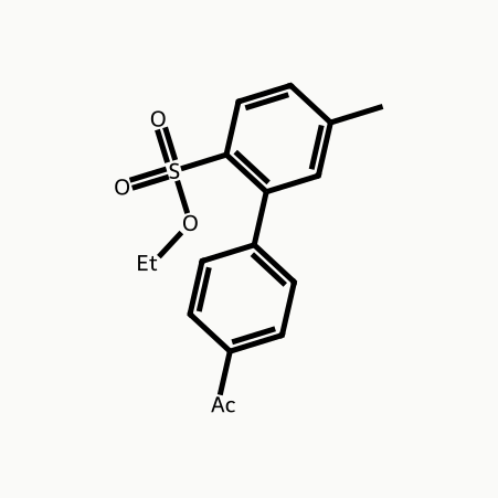 CCOS(=O)(=O)c1ccc(C)cc1-c1ccc(C(C)=O)cc1